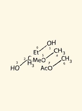 CCO.CO.COC.COC(C)=O